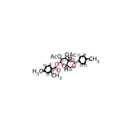 CC(=O)O[C@@H]1[C@@H](OC(C)=O)[C@H](OC(=O)c2ccc(C)cc2C)O[C@@H]2CO[C@@H](c3ccc(C)cc3)O[C@@H]12